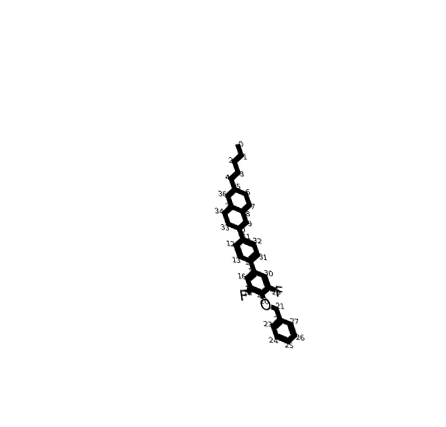 CCCCCC1CCC2CC(c3ccc(-c4cc(F)c(OCc5ccccc5)c(F)c4)cc3)CCC2C1